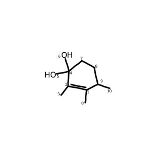 CC1=C(C)C(O)(O)CCC1C